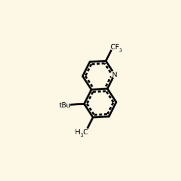 Cc1ccc2nc(C(F)(F)F)ccc2c1C(C)(C)C